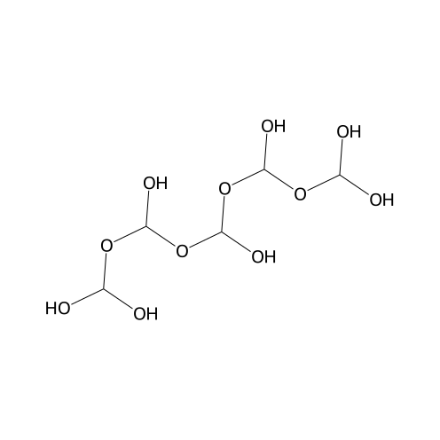 OC(O)OC(O)OC(O)OC(O)OC(O)O